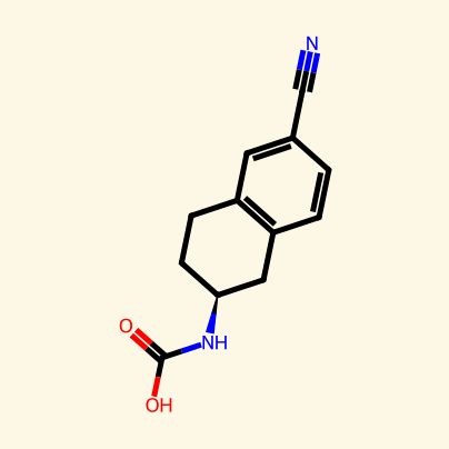 N#Cc1ccc2c(c1)CC[C@H](NC(=O)O)C2